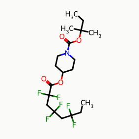 CCC(F)(F)CC(F)(F)CC(F)(F)C(=O)OC1CCN(C(=O)OC(C)(C)CC)CC1